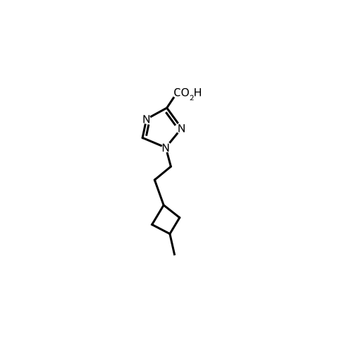 CC1CC(CCn2cnc(C(=O)O)n2)C1